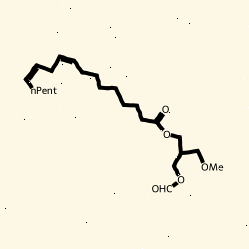 CCCCC/C=C\C/C=C\CCCCCCCC(=O)OCC(COC)COC=O